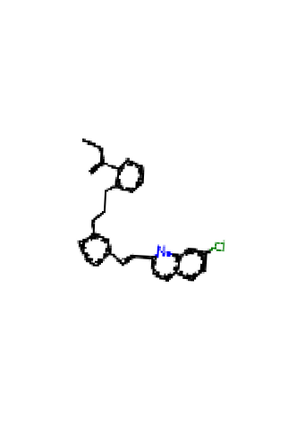 C=C(CC)c1ccccc1CCCc1cccc(/C=C/c2ccc3ccc(Cl)cc3n2)c1